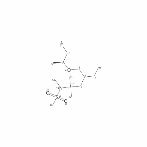 CCC(CO[C@@H](C)CF)CC(C)(C)N(C)S(C)(=O)=O